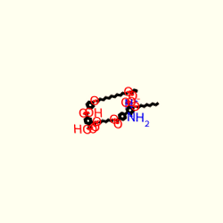 C=CC(=O)OCCCCCCCCCCCOc1ccccc1.CCCCCCCCOc1cc(N)c(-c2ccc(C(=O)OCCCCCOC(=O)c3cc(C(=O)O)ccc3C(=O)O)cc2)cc1[N+](=O)[O-]